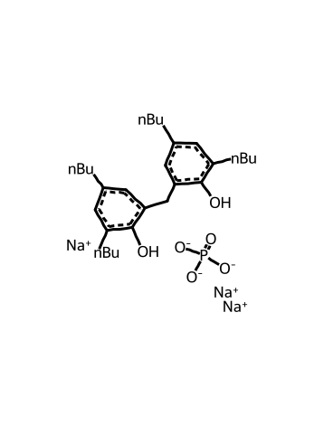 CCCCc1cc(CCCC)c(O)c(Cc2cc(CCCC)cc(CCCC)c2O)c1.O=P([O-])([O-])[O-].[Na+].[Na+].[Na+]